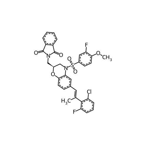 COc1ccc(S(=O)(=O)N2C[C@H](CN3C(=O)c4ccccc4C3=O)Oc3ccc(/C=C(\C)c4c(F)cccc4Cl)cc32)cc1F